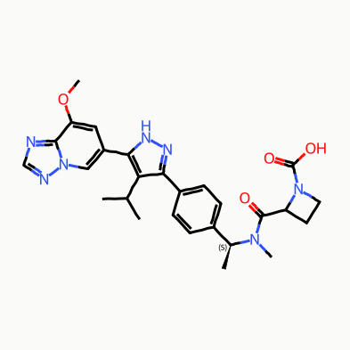 COc1cc(-c2[nH]nc(-c3ccc([C@H](C)N(C)C(=O)C4CCN4C(=O)O)cc3)c2C(C)C)cn2ncnc12